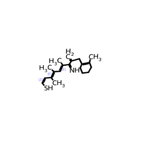 C=C(CC1=C(C)CCCC1)C(=N)/C(C)=C/C(C)=C(C)/C=C\S